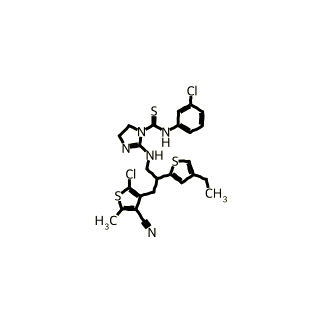 CCc1csc(C(CNC2=NCCN2C(=S)Nc2cccc(Cl)c2)Cc2c(Cl)sc(C)c2C#N)c1